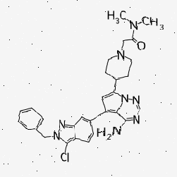 CN(C)C(=O)CN1CCC(c2cc(-c3ccc4c(Cl)n(Cc5ccccc5)nc4c3)c3c(N)ncnn23)CC1